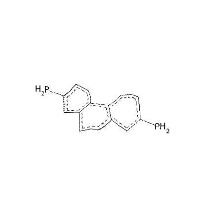 Pc1ccc2c(ccc3cc(P)ccc32)c1